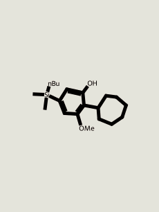 CCCC[Si](C)(C)c1cc(O)c(C2CCCCCC2)c(OC)c1